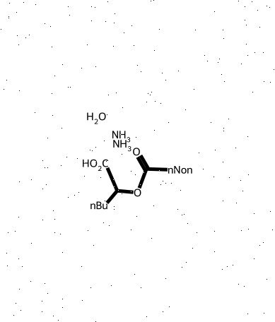 CCCCCCCCCC(=O)OC(CCCC)C(=O)O.N.N.O